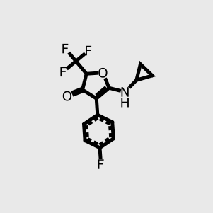 O=C1C(c2ccc(F)cc2)=C(NC2CC2)OC1C(F)(F)F